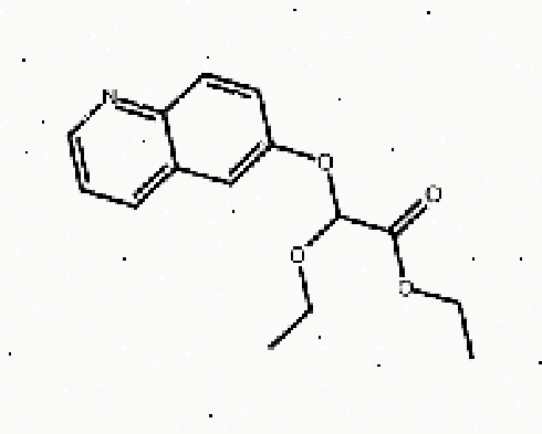 CCOC(=O)C(OCC)Oc1ccc2ncccc2c1